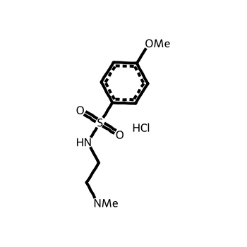 CNCCNS(=O)(=O)c1ccc(OC)cc1.Cl